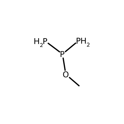 COP(P)P